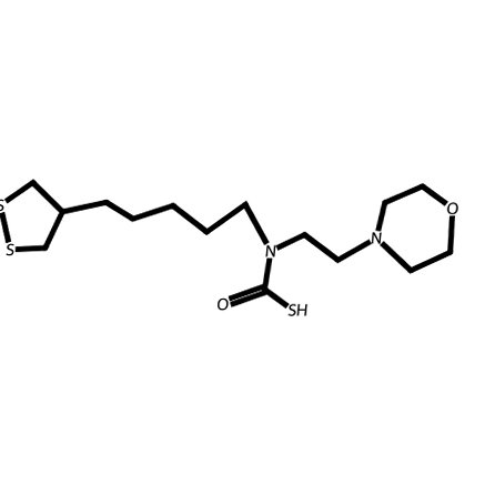 O=C(S)N(CCCCCC1CSSC1)CCN1CCOCC1